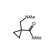 CNCC1(C(=O)NC)CC1